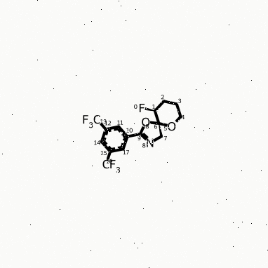 F[C@H]1CCCO[C@@]12CN=C(c1cc(C(F)(F)F)cc(C(F)(F)F)c1)O2